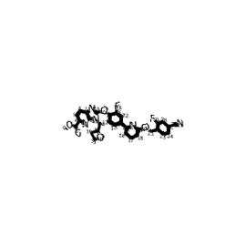 COC(=O)c1ccc2nc(Oc3ccc(-c4cccc(OCc5ccc(C#N)cc5F)n4)cc3F)n(CC3CCO3)c2n1